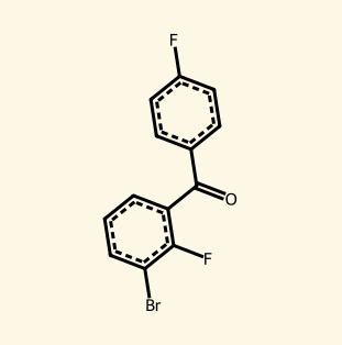 O=C(c1ccc(F)cc1)c1cccc(Br)c1F